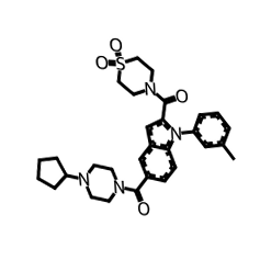 Cc1cccc(-n2c(C(=O)N3CCS(=O)(=O)CC3)cc3cc(C(=O)N4CCN(C5CCCC5)CC4)ccc32)c1